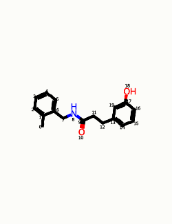 Cc1ccccc1CNC(=O)CCc1cccc(O)c1